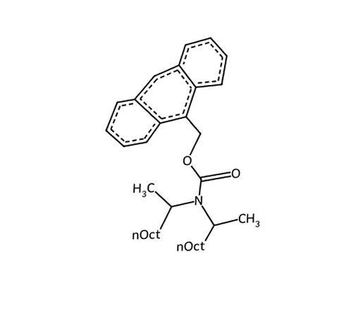 CCCCCCCCC(C)N(C(=O)OCc1c2ccccc2cc2ccccc12)C(C)CCCCCCCC